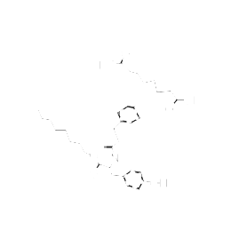 CCCCCCCCOC(=O)[C@H](Cc1ccc(O)cc1)NC(=O)CCc1ccc(O)cc1.O=C(O)CCCCCCC(=O)O